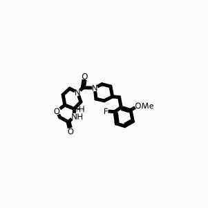 COc1cccc(F)c1CC1CCN(C(=O)N2CCC3OCC(=O)N[C@@H]3C2)CC1